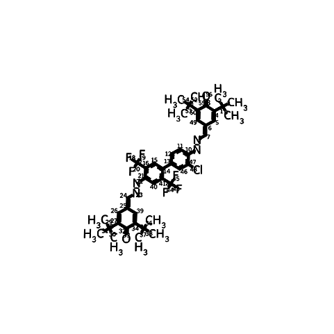 CC(C)(C)C1=CC(=C/N=N/c2ccc(-c3cc(C(F)(F)F)c(/N=N/C=C4C=C(C(C)(C)C)C(=O)C(C(C)(C)C)=C4)cc3C(F)(F)F)cc2Cl)C=C(C(C)(C)C)C1=O